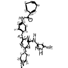 CCCc1cc(Nc2nc(Sc3ccc(NC(=O)c4ccccc4)cc3)nc(N3CCN(C)CC3)n2)n[nH]1